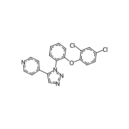 Clc1ccc(Oc2ccccc2-n2nncc2-c2ccncc2)c(Cl)c1